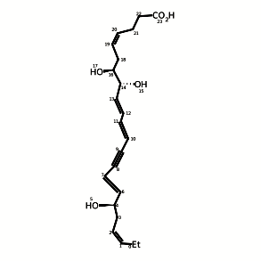 CC/C=C\C[C@@H](O)/C=C/C#C/C=C/C=C/[C@@H](O)[C@@H](O)C/C=C\CCC(=O)O